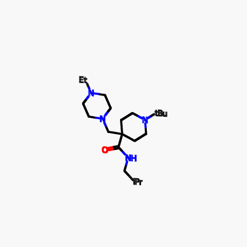 CCN1CCN(CC2(C(=O)NCC(C)C)CCN(C(C)(C)C)CC2)CC1